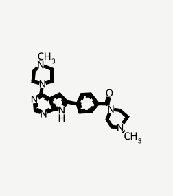 CN1CCN(C(=O)c2ccc(-c3cc4c(N5CCN(C)CC5)ncnc4[nH]3)cc2)CC1